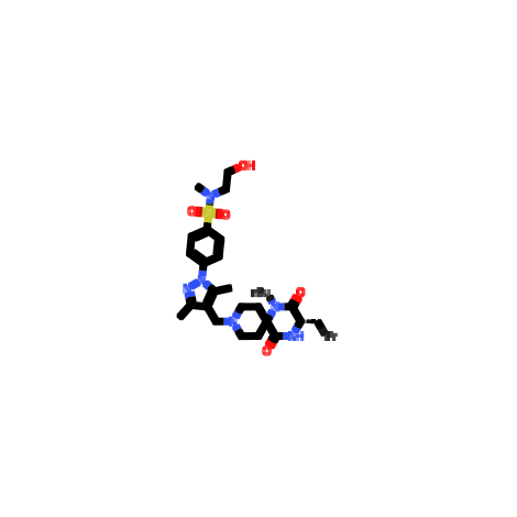 CCCCN1C(=O)[C@H](CC(C)C)NC(=O)C12CCN(Cc1c(C)nn(-c3ccc(S(=O)(=O)N(C)CCO)cc3)c1C)CC2